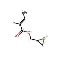 CCCC=C(C)C(=O)OCC1CO1